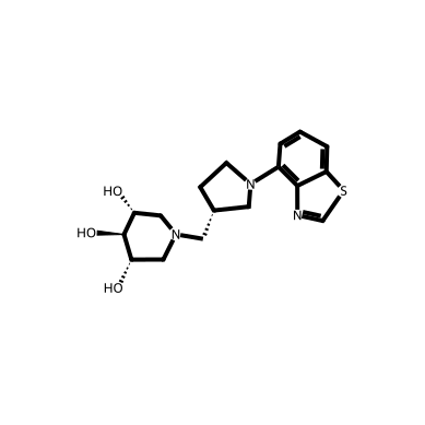 O[C@H]1[C@H](O)CN(C[C@@H]2CCN(c3cccc4scnc34)C2)C[C@@H]1O